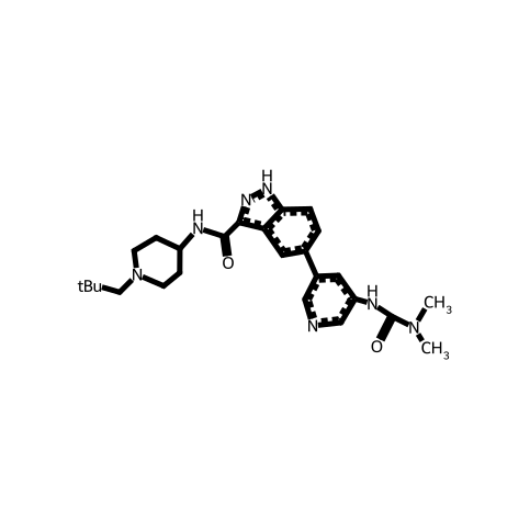 CN(C)C(=O)Nc1cncc(-c2ccc3[nH]nc(C(=O)NC4CCN(CC(C)(C)C)CC4)c3c2)c1